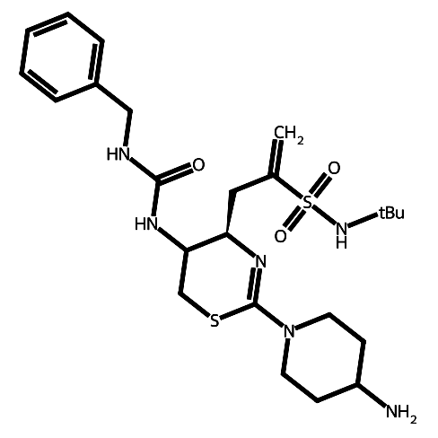 C=C(C[C@H]1N=C(N2CCC(N)CC2)SCC1NC(=O)NCc1ccccc1)S(=O)(=O)NC(C)(C)C